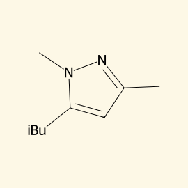 CCC(C)c1cc(C)nn1C